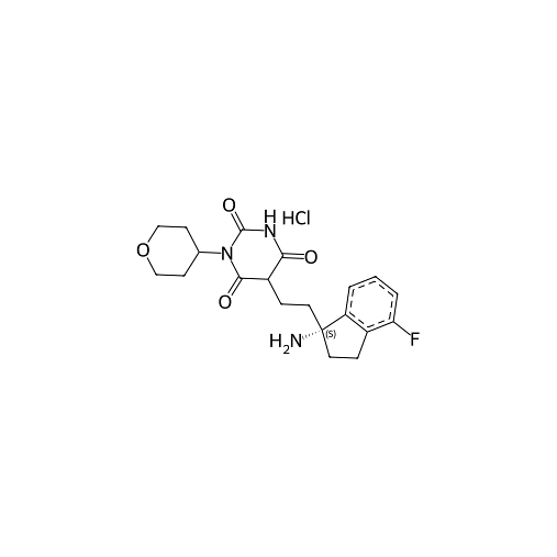 Cl.N[C@@]1(CCC2C(=O)NC(=O)N(C3CCOCC3)C2=O)CCc2c(F)cccc21